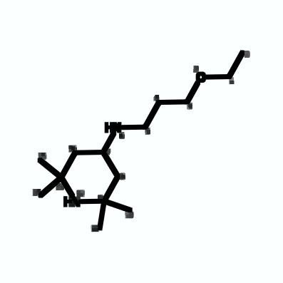 CCOCCCNC1CC(C)(C)NC(C)(C)C1